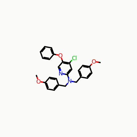 COc1ccc(CN(Cc2ccc(OC)cc2)c2cc(Cl)c(Oc3ccccc3)cn2)cc1